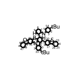 CC(C)(C)c1ccc(Nc2ccccc2-c2cc(-c3ccc4c(c3)sc3ccccc34)c3c4cc(C(C)(C)C)ccc4n4c3c2Bc2cc3oc5ccccc5c3cc2-4)cc1